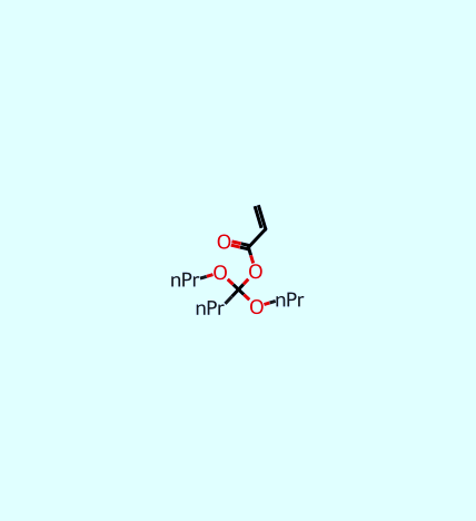 C=CC(=O)OC(CCC)(OCCC)OCCC